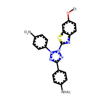 CCOc1ccc2nc(-[n+]3nc(-c4ccc(NC(C)=O)cc4)nn3-c3ccc([N+](=O)[O-])cc3)sc2c1